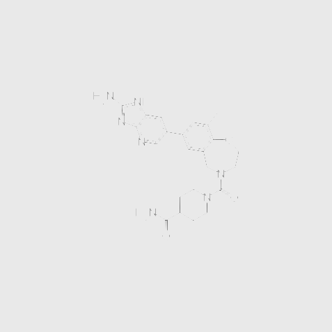 Cc1cc(-c2cnc3nc(N)[nH]c3c2)cc2c1OCCN(C(=O)N1CCC(C(N)=O)CC1)C2